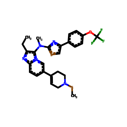 CCc1nc2ccc(C3=CCN(SC)CC3)cn2c1N(C)c1nc(-c2ccc(OC(F)(F)F)cc2)cs1